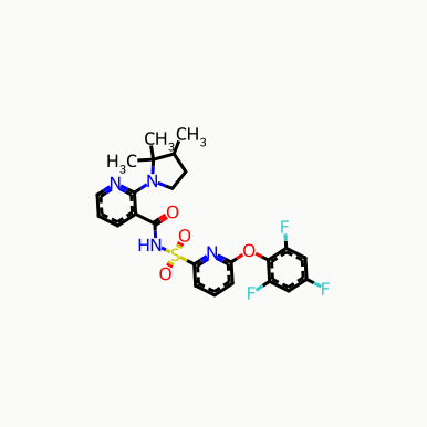 CC1CCN(c2ncccc2C(=O)NS(=O)(=O)c2cccc(Oc3c(F)cc(F)cc3F)n2)C1(C)C